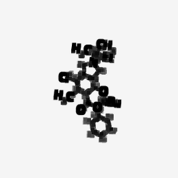 CCCCOc1c2c(c(Cl)c(C)c1C(=O)Oc1ccccc1)CN(C(C)(C)CC)C2